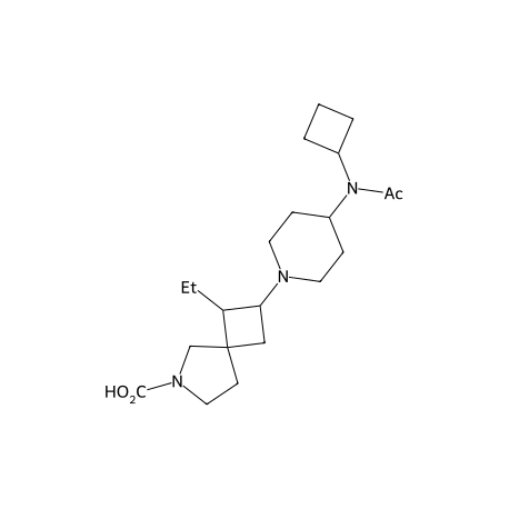 CCC1C(N2CCC(N(C(C)=O)C3CCC3)CC2)CC12CCN(C(=O)O)C2